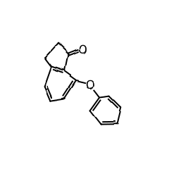 O=C1CCc2cccc(Oc3ccccc3)c21